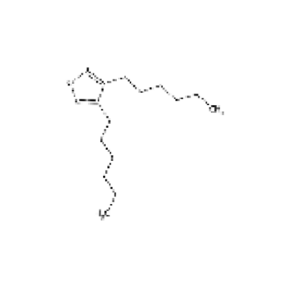 CCCCCCc1[c]occ1CCCCCC